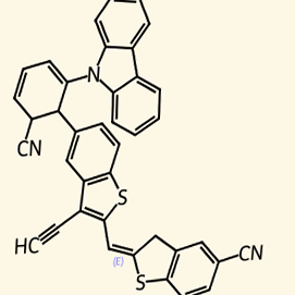 C#Cc1c(/C=C2\Cc3cc(C#N)ccc3S2)sc2ccc(C3C(n4c5ccccc5c5ccccc54)=CC=CC3C#N)cc12